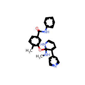 CNC1(Oc2cc(C(=O)Nc3ccccc3)ccc2C)NC=CC=C1c1ccncc1